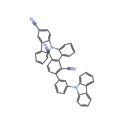 N#Cc1ccc2c(c1)c1ccccc1n2-c1ccccc1-c1c(C#N)ccc(-c2cccc(-n3c4ccccc4c4ccccc43)c2)c1C#N